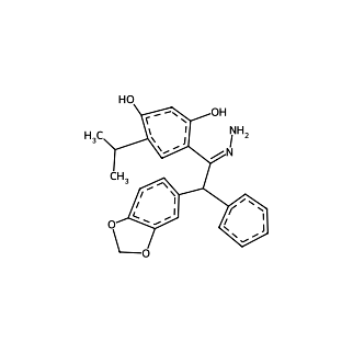 CC(C)c1cc(/C(=N\N)C(c2ccccc2)c2ccc3c(c2)OCO3)c(O)cc1O